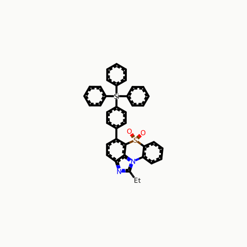 CCc1nc2ccc(-c3ccc([Si](c4ccccc4)(c4ccccc4)c4ccccc4)cc3)c3c2n1-c1ccccc1S3(=O)=O